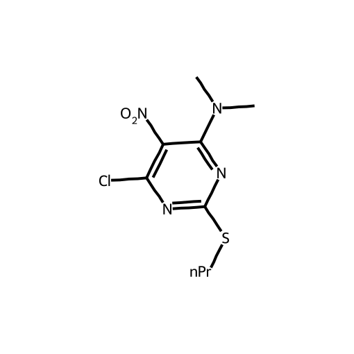 CCCSc1nc(Cl)c([N+](=O)[O-])c(N(C)C)n1